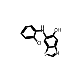 Oc1cc2ncsc2cc1Nc1ccccc1Cl